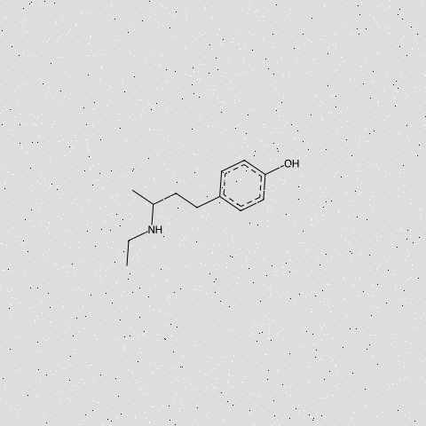 CCNC(C)CCc1ccc(O)cc1